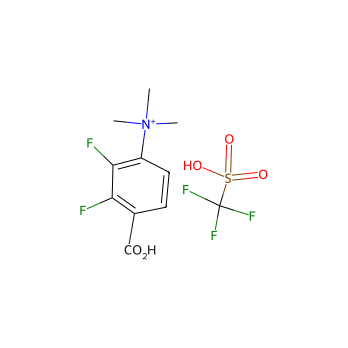 C[N+](C)(C)c1ccc(C(=O)O)c(F)c1F.O=S(=O)(O)C(F)(F)F